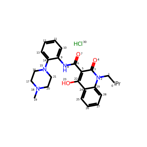 CC(C)Cn1c(=O)c(C(=O)Nc2ccccc2N2CCN(C)CC2)c(O)c2ccccc21.Cl